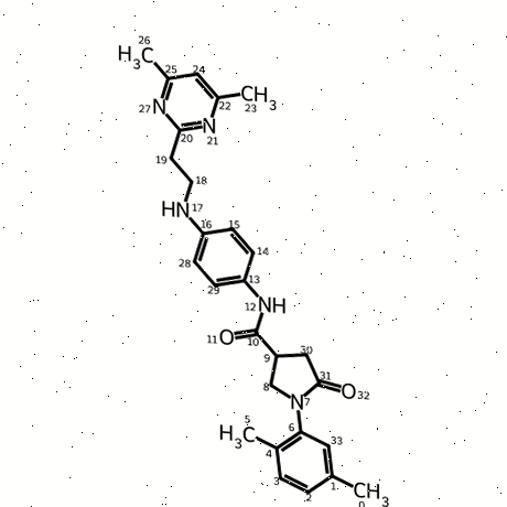 Cc1ccc(C)c(N2CC(C(=O)Nc3ccc(NCCc4nc(C)cc(C)n4)cc3)CC2=O)c1